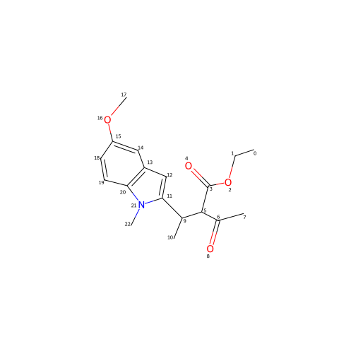 CCOC(=O)C(C(C)=O)C(C)c1cc2cc(OC)ccc2n1C